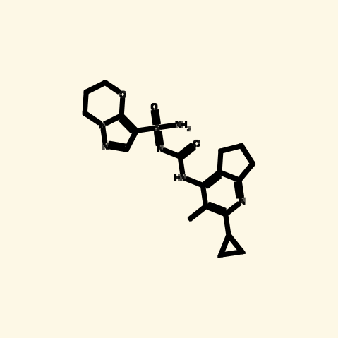 Cc1c(C2CC2)nc2c(c1NC(=O)N=S(N)(=O)c1cnn3c1OCCC3)CCC2